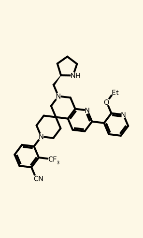 CCOc1ncccc1-c1ccc2c(n1)CN(C[C@H]1CCCN1)CC21CCN(c2cccc(C#N)c2C(F)(F)F)CC1